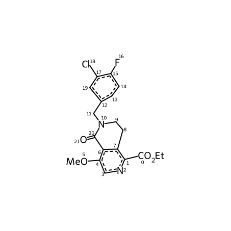 CCOC(=O)c1ncc(OC)c2c1CCN(Cc1ccc(F)c(Cl)c1)C2=O